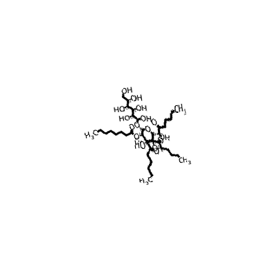 CCCCCCCC(=O)O[C@@H]1[C@H](OC(O)[C@@H](O)[C@H](O)[C@@H](O)[C@@H](O)CO)O[C@H](C(O)C(=O)CCCCC)[C@](O)(C(=O)CCCCC)[C@@]1(O)C(=O)CCCCC